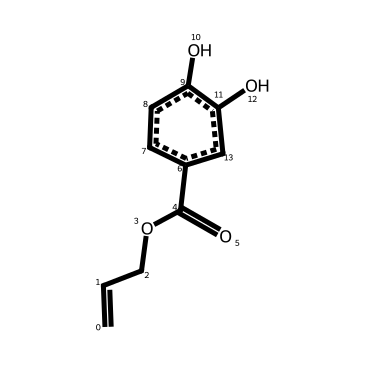 C=CCOC(=O)c1ccc(O)c(O)c1